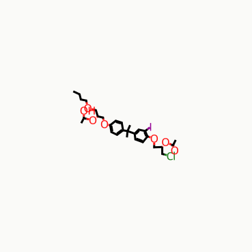 CCCCOCC(COc1ccc(C(C)(C)c2ccc(OCC(CCl)OC(C)=O)c(I)c2)cc1)OC(C)O